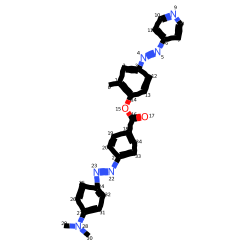 Cc1cc(N=Nc2ccncc2)ccc1OC(=O)c1ccc(N=Nc2ccc(N(C)C)cc2)cc1